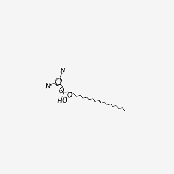 CCCCCCCCCCCCCCCCCCOC[C@H](CO)OCc1cc(C#N)cc(C#N)c1